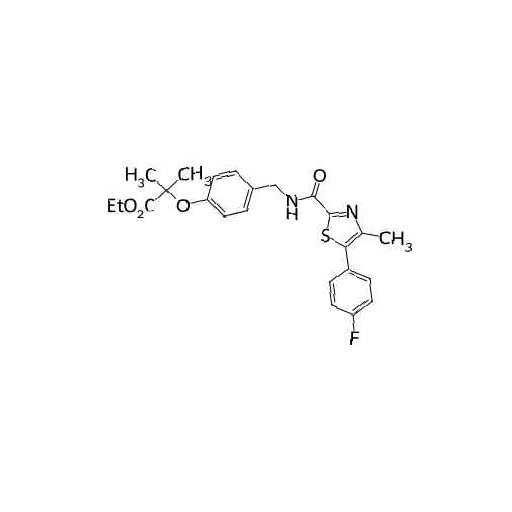 CCOC(=O)C(C)(C)Oc1ccc(CNC(=O)c2nc(C)c(-c3ccc(F)cc3)s2)cc1